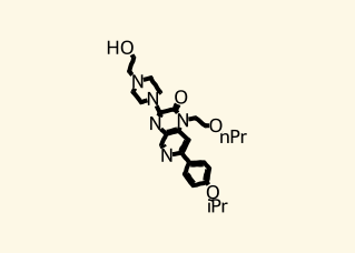 CCCOCCn1c(=O)c(N2CCN(CCO)CC2)nc2cnc(-c3ccc(OC(C)C)cc3)cc21